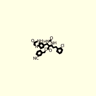 N#Cc1cccc(COC(=O)C2=C(CCc3ccccc3Cl)NC(=O)NC2c2ccc3ncc(=O)[nH]c3c2)c1